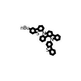 CCCCc1ccc2sc3c(-n4c5ccccc5c5c4ccc4c6ccccc6n(-c6ccc7sc8ccccc8c7c6)c45)cccc3c2c1